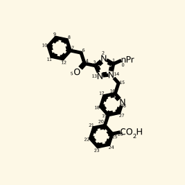 CCCc1nc(C(=O)Cc2ccccc2)nn1Cc1ccc(-c2ccccc2C(=O)O)cn1